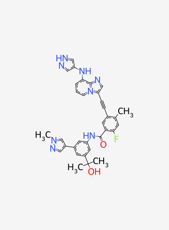 Cc1cc(F)c(C(=O)Nc2cc(-c3cnn(C)c3)cc(C(C)(C)O)c2)cc1C#Cc1cnc2c(Nc3cn[nH]c3)cccn12